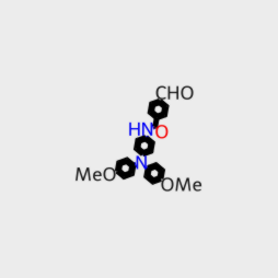 COc1ccc(N(c2ccc(NC(=O)c3ccc(C=O)cc3)cc2)c2ccc(OC)cc2)cc1